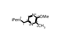 CCCC(C)Cc1cnc(OC)c(C)n1